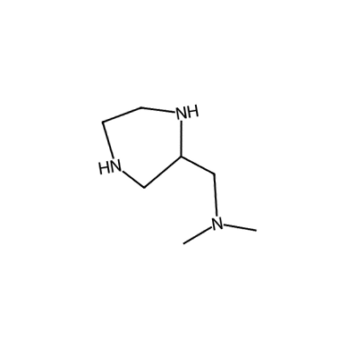 CN(C)CC1CNCCN1